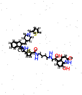 O=C(NCCCCNCC(O)c1ccc(O)c2[nH]c(=O)ccc12)c1ccc(CNC2(C(=O)O)c3ccccc3CC2CC2CCN(Cc3cccs3)CC2)s1